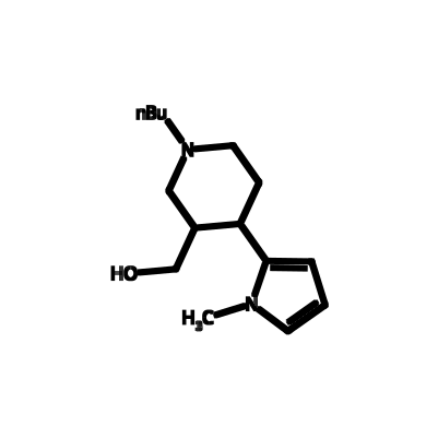 CCCCN1CCC(c2cccn2C)C(CO)C1